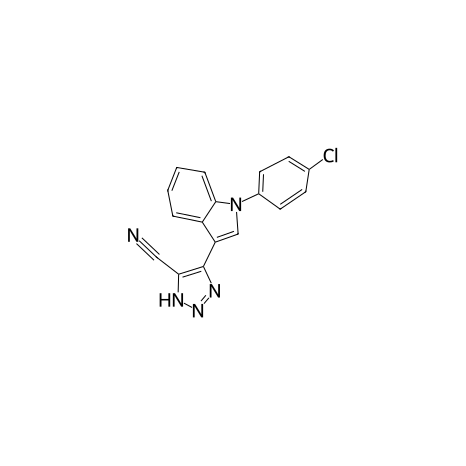 N#Cc1[nH]nnc1-c1cn(-c2ccc(Cl)cc2)c2ccccc12